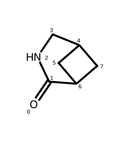 O=C1NCC2CC1C2